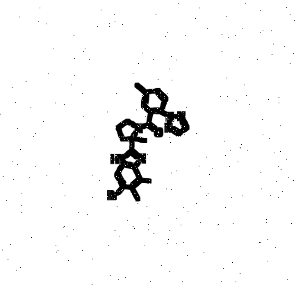 Cc1ccc(-n2nccn2)c(C(=O)N2CCCC2(C)c2nc3c(C)c(C)c(Br)cc3[nH]2)c1